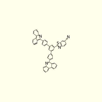 N#Cc1ccc2nc(-c3cc(-c4ccc(-c5nc6ccccc6c6ccc#cc56)cc4)cc(-c4ccc(-c5nc6ccccc6c6ccccc56)cc4)c3)sc2c1